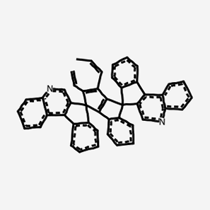 C=CC1=C(/C=C\C)C2=C(c3ccccc3C23c2ccccc2-c2c3cnc3ccccc23)C12c1ccccc1-c1c2cnc2ccccc12